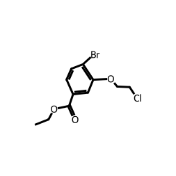 CCOC(=O)c1ccc(Br)c(OCCCl)c1